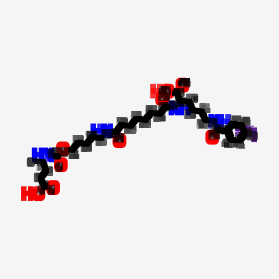 C[C@H](CCC(=O)O)NC(=O)OCCCCCNC(=O)CCCCCCC(=O)NC(CCCCNC(=O)c1ccc([125I])cc1)C(=O)O